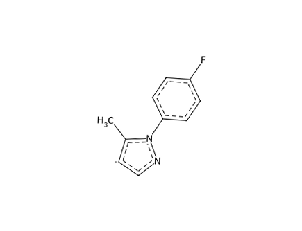 Cc1[c]cnn1-c1ccc(F)cc1